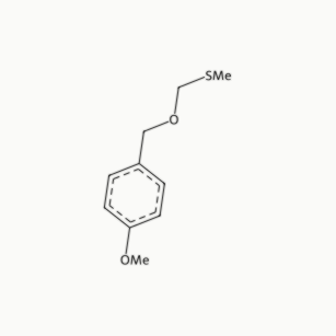 COc1ccc(COCSC)cc1